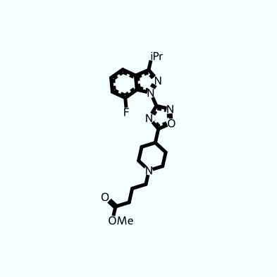 COC(=O)CCCN1CCC(c2nc(-n3nc(C(C)C)c4cccc(F)c43)no2)CC1